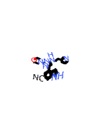 N#Cc1cc(-c2cc(NCCc3cccnc3)nc(N3CCOCC3)n2)c2cc[nH]c2c1